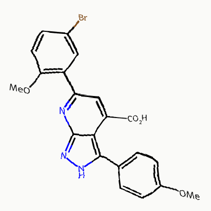 COc1ccc(-c2[nH]nc3nc(-c4cc(Br)ccc4OC)cc(C(=O)O)c23)cc1